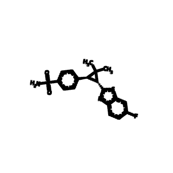 CC1(C)[C@H](c2ccc(S(N)(=O)=O)cc2)[C@H]1c1nc2ccc(F)cc2s1